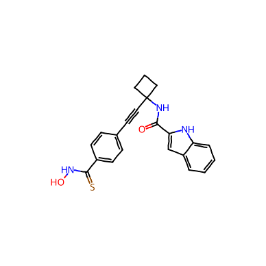 O=C(NC1(C#Cc2ccc(C(=S)NO)cc2)CCC1)c1cc2ccccc2[nH]1